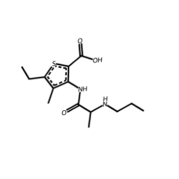 CCCNC(C)C(=O)Nc1c(C(=O)O)sc(CC)c1C